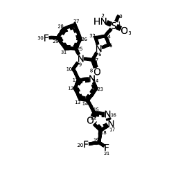 CS(=N)(=O)C1CN(C(=O)N(Cc2ccc(-c3nnc(C(F)F)o3)cn2)c2cccc(F)c2)C1